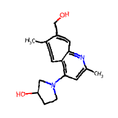 Cc1cc(N2CCC(O)C2)c2cc(C)c(CO)cc2n1